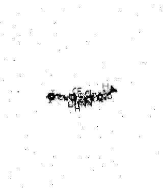 Cn1c(NC2=CC(C(F)(F)F)=CN(CCOCc3ccccc3)C2O)nc2ncc(Oc3ccnc(NC(=O)C4CC4)c3)c(Cl)c21